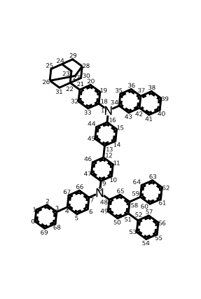 c1ccc(-c2ccc(N(c3ccc(-c4ccc(N(c5ccc(C67CC8CC(CC(C8)C6)C7)cc5)c5ccc6ccccc6c5)cc4)cc3)c3ccc(-c4ccccc4)c(-c4ccccc4)c3)cc2)cc1